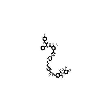 Nc1ncc(-c2cnn(C3CCN(CCCN4CC5CC4CN5C(=O)CNc4ccc5c(c4)C(=O)N(C4CCC(=O)NC4=O)C5=O)CC3)c2)nc1C(=O)O[C@@H](C(=O)Nc1ccc(F)cc1)c1ccccc1